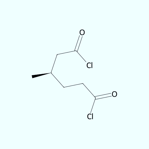 C[C@H](CCC(=O)Cl)CC(=O)Cl